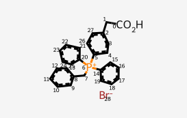 O=C(O)Cc1ccc([P+](Cc2ccccc2)(c2ccccc2)c2ccccc2)cc1.[Br-]